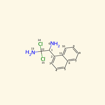 NC(c1cccc2ccccc12)C(N)(Cl)Cl